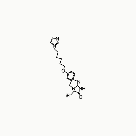 CC(C)C1C(=O)NC2=Nc3ccc(OCCCCCCn4ccnc4)cc3CN21